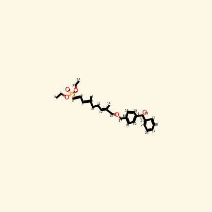 CCOP(=O)(/C=C/C=C(\C)CC/C=C(\C)COCc1ccc(C(=O)c2ccccc2)cc1)OCC